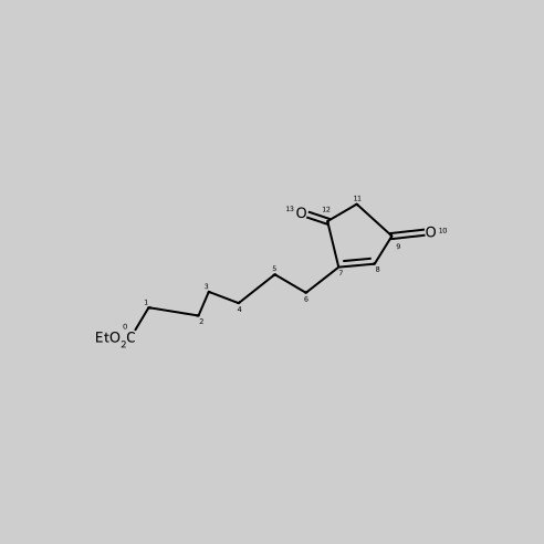 CCOC(=O)CCCCCCC1=CC(=O)CC1=O